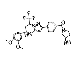 COc1ccc(C2CC(C(F)(F)F)n3nc(-c4ccc(C(=O)N5CCC(N)C5)cc4)cc3N2)cc1OC